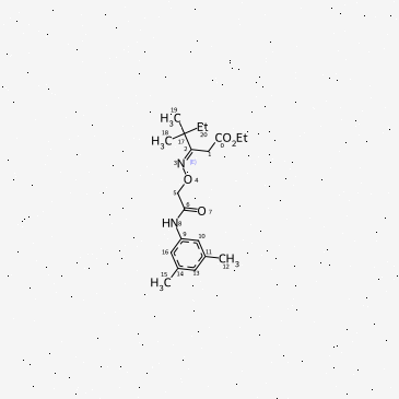 CCOC(=O)C/C(=N\OCC(=O)Nc1cc(C)cc(C)c1)C(C)(C)CC